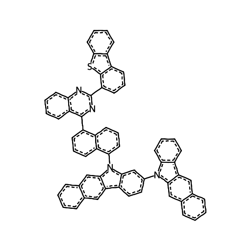 c1ccc2cc3c(cc2c1)c1ccccc1n3-c1ccc2c3cc4ccccc4cc3n(-c3cccc4c(-c5nc(-c6cccc7c6sc6ccccc67)nc6ccccc56)cccc34)c2c1